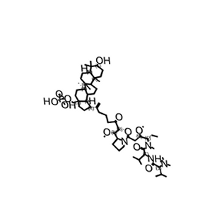 C=C(CCCC(=O)[C@H](C)[C@@H](OC)C1CCCN1C(=O)C[C@@H](OC)[C@H](CC)N(C)C(=O)[C@@H](NC(=O)[C@H](C(C)C)N(C)C)C(C)C)[C@@H]1CC[C@]2(COP(=O)(O)O)CC[C@]3(C)C(CCC4[C@@]5(C)CC[C@H](O)C(C)(C)[C@@H]5CC[C@]43C)[C@@H]12